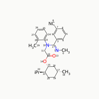 C/N=C(\c1cccc(C#N)c1)N(CC(=O)O[C@@H]1C[C@H](C)CC[C@H]1C(C)C)c1ccccc1C